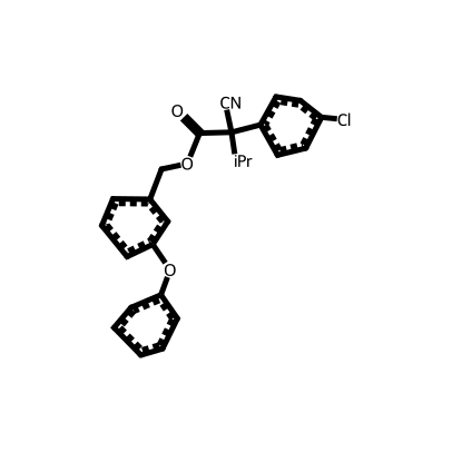 CC(C)C(C#N)(C(=O)OCc1cccc(Oc2ccccc2)c1)c1ccc(Cl)cc1